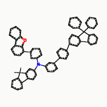 CC1(C)c2ccccc2-c2ccc(N(c3cccc(-c4ccc(-c5ccc6c(c5)-c5ccccc5C6(c5ccccc5)c5ccccc5)cc4)c3)c3cccc(-c4cccc5c4oc4ccccc45)c3)cc21